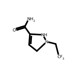 NC(=O)C1=CCN(CC(F)(F)F)N1